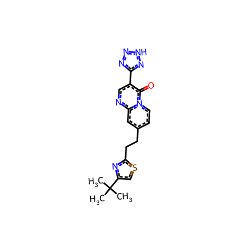 CC(C)(C)c1csc(CCc2ccn3c(=O)c(-c4nn[nH]n4)cnc3c2)n1